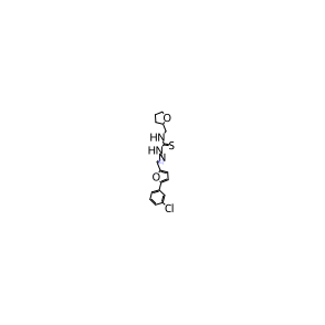 S=C(NCC1CCCO1)N/N=C/c1ccc(-c2cccc(Cl)c2)o1